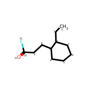 CCC1CCCCC1CCC(=O)F